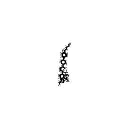 CCCCOc1ccc(C2CCC(C3CCC(c4ccc(OCC)c(C(F)(F)F)c4F)OC3)CC2)cc1